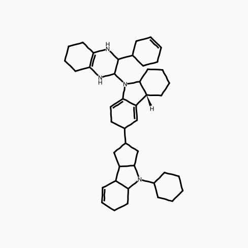 C1=CCC(C2NC3=C(CCCC3)NC2N2C3=CCC(C4CC5C6C=CCCC6N(C6CCCCC6)C5C4)C=C3[C@H]3CCCCC32)CC1